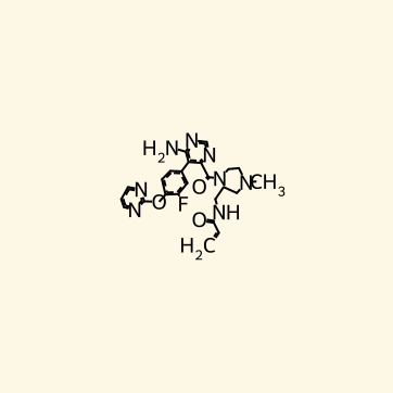 C=CC(=O)NCC1CN(C)CCN1C(=O)c1ncnc(N)c1-c1ccc(Oc2ncccn2)c(F)c1